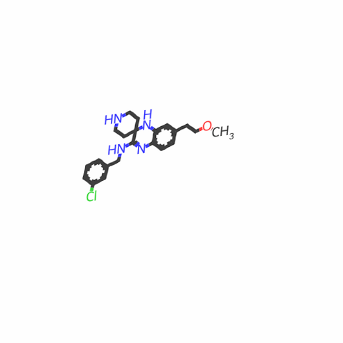 COCCc1ccc2c(c1)NC1(CCNCC1)C(NCc1cccc(Cl)c1)=N2